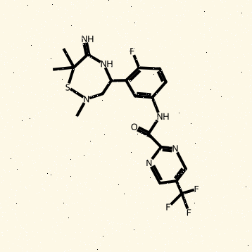 CN1CC(c2cc(NC(=O)c3ncc(C(F)(F)F)cn3)ccc2F)NC(=N)C(C)(C)S1